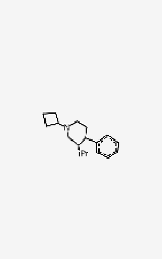 CC(C)[C@H]1CN(C2CCC2)CCC1c1ccccc1